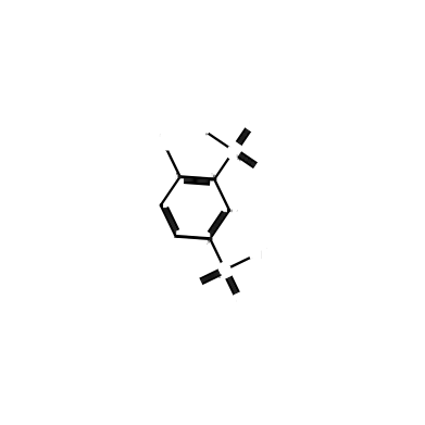 O=S(=O)(Cl)c1ccc(Cl)c(S(=O)(=O)Cl)c1